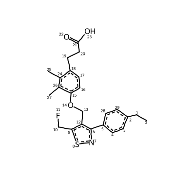 CCc1ccc(-c2nsc(CF)c2COc2ccc(CCC(=O)O)c(C)c2C)cc1